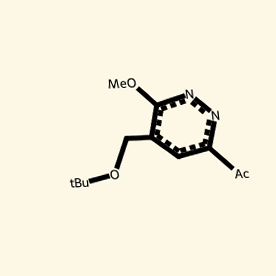 COc1nnc(C(C)=O)cc1COC(C)(C)C